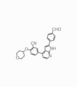 N#Cc1cc(-c2ccnc3[nH]c(-c4ccc(C=O)cc4)cc23)ccc1OC1CCOCC1